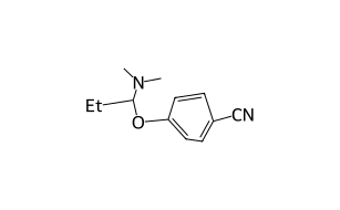 CCC(Oc1ccc(C#N)cc1)N(C)C